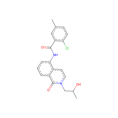 Cc1ccc(Cl)c(C(=O)Nc2cccc3c(=O)n(CC(C)O)ccc23)c1